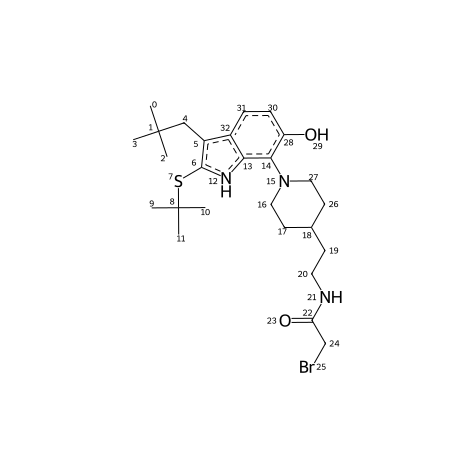 CC(C)(C)Cc1c(SC(C)(C)C)[nH]c2c(N3CCC(CCNC(=O)CBr)CC3)c(O)ccc12